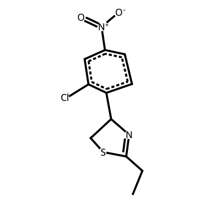 CCC1=NC(c2ccc([N+](=O)[O-])cc2Cl)CS1